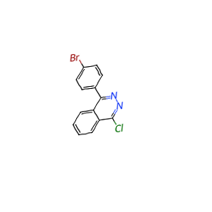 Clc1nnc(-c2ccc(Br)cc2)c2ccccc12